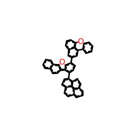 c1ccc2c(c1)Oc1cccc3cc(-c4ccc(-c5ccc6ccc7cccc8ccc5c6c78)c5c4oc4c6ccccc6ccc45)cc-2c13